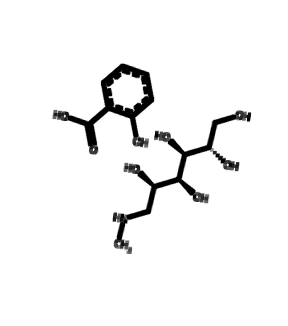 CNC[C@@H](O)[C@H](O)[C@@H](O)[C@@H](O)CO.O=C(O)c1ccccc1O